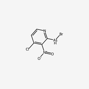 O=[N+]([O-])c1c(Cl)ccnc1[AsH]Br